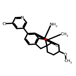 COC1CCC2(CC1)Cc1ccc(-c3cncc(Cl)c3)cc1C21N=C(N)N(C)C1=O